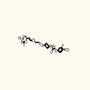 CC[C@@H](CCOCCO[C@H]1C[C@H](NC(=O)COc2ccc(Cl)c(F)c2)C1)OC(F)(F)F